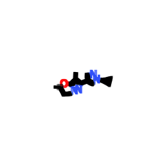 Cc1c(-c2cnn(C3CC3)c2)nn2c1O[C@H](C)CC2